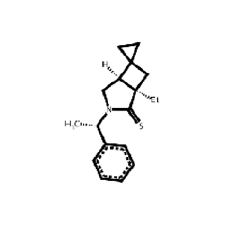 CC[C@@]12CC3(CC3)[C@@H]1CN([C@@H](C)c1ccccc1)C2=S